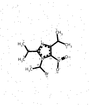 CC(C)c1nc(C(C)C)n(C(C)Br)c1[N+](=O)[O-]